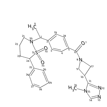 CC(c1ccc(C(=O)N2CC(c3nncn3C)C2)cc1)N1CCCC(c2ccccc2)S1(=O)=O